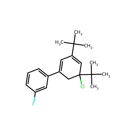 CC(C)(C)C1=CC(Cl)(C(C)(C)C)CC(c2cccc(F)c2)=C1